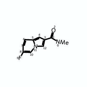 CNC(=O)c1cc2ccc(F)cn2c1